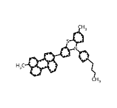 CCCCc1ccc(N2c3ccc(C)cc3Sc3cc(-c4ccc5c6ccc(C)c7cccc(c8cccc4c85)c76)ccc32)cc1